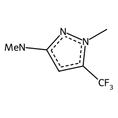 CNc1cc(C(F)(F)F)n(C)n1